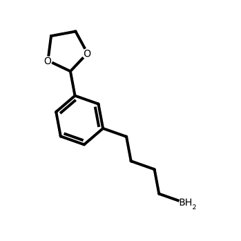 BCCCCc1cccc(C2OCCO2)c1